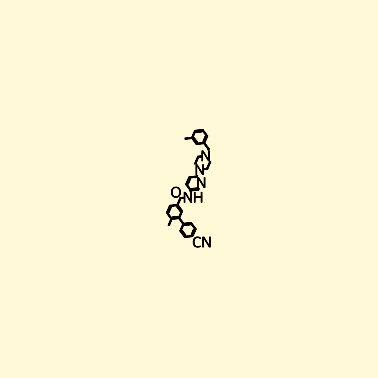 Cc1cccc(CN2CCN(c3ccc(NC(=O)c4ccc(C)c(-c5ccc(C#N)cc5)c4)cn3)CC2)c1